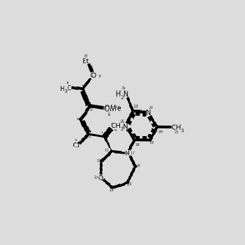 C=C(/C(Cl)=C\C(OC)=C(/C)OCC)[C@@H]1COCCCN1c1cc(C)nc(N)n1